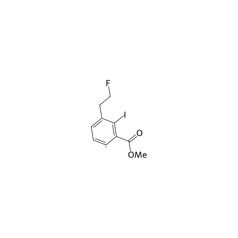 COC(=O)c1[c]ccc(CCF)c1I